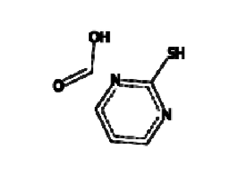 O=CO.Sc1ncccn1